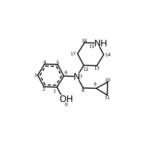 Oc1ccccc1N(CC1CC1)C1CCNCC1